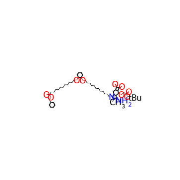 Cc1c(N)c2c(OCC(=O)OC(C)(C)C)c3c(=O)c(=O)c3cc2n1CCCCCCCCCCCCOc1ccccc1OCCCCCCCCCCCC(=O)OCc1ccccc1